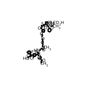 C=CC(=O)N1CCN(c2nc(NCCC(=O)N(C)CCOCCOCCOc3cccc(C(=O)c4csc(C5CCCN5C(=O)[C@@H](NC(=O)C(C)N(C)C(=O)O)C5CCCCC5)n4)c3)nc3c(F)c(/C(=C/CO)c4ccccc4C)c(Cl)cc23)CC1